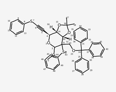 COC1O[C@@H](C#CSc2ccccc2)[C@@H]2OC(C)(C)O[C@@H]2C1(COC(c1ccccc1)(c1ccccc1)c1ccccc1)[Se]c1ccccc1